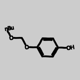 CCCCOCOc1ccc(O)cc1